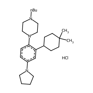 CCCCN1CCN(c2ccc(N3CCCC3)cc2C2CCC(C)(C)CC2)CC1.Cl